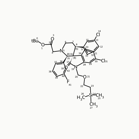 CC(C)(C)OC(=O)CN1CC[C@@H](c2cccc(Cl)c2)[C@]2(C(=O)N(COCC[Si](C)(C)C)c3cc(Cl)ccc32)[C@H]1c1cccc(F)c1